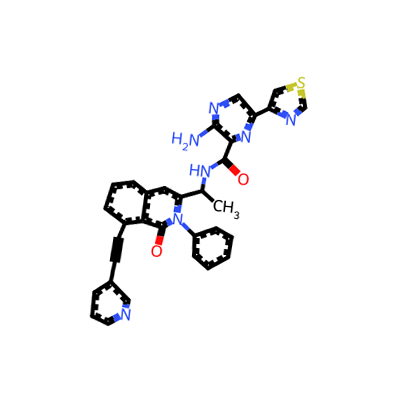 CC(NC(=O)c1nc(-c2cscn2)cnc1N)c1cc2cccc(C#Cc3cccnc3)c2c(=O)n1-c1ccccc1